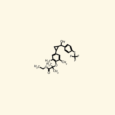 CCOC(=O)C(C)(C)Oc1c(C)cc(C2CC2C(O)c2ccc(SC(F)(F)F)cc2)cc1C